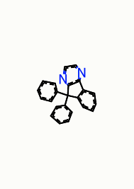 c1ccc(C2(c3ccccc3)c3ccccc3-c3nccnc32)cc1